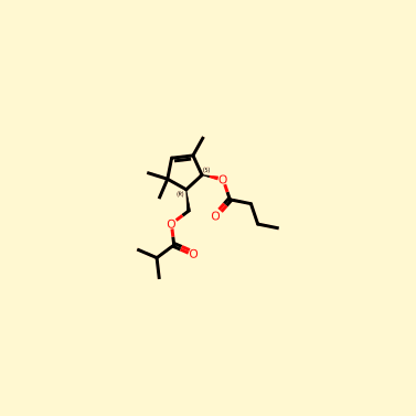 CCCC(=O)O[C@@H]1C(C)=CC(C)(C)[C@@H]1COC(=O)C(C)C